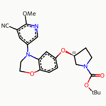 COc1ncc(N2CCOc3ccc(O[C@H]4CCN(C(=O)OC(C)(C)C)C4)cc32)cc1C#N